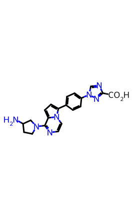 NC1CCN(c2nccn3c(-c4ccc(-n5cnc(C(=O)O)n5)cc4)ccc23)C1